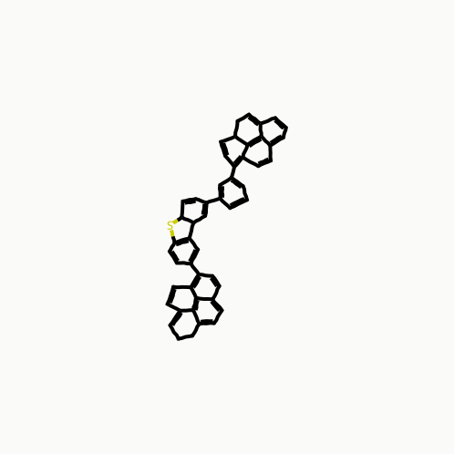 C1=CC2Sc3ccc(-c4ccc5ccc6c7c(ccc4c57)=CCC6)cc3C2C=C1c1cccc(C2=c3ccc4cccc5c4c3C(C=C2)CC=5)c1